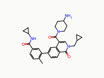 Cc1ccc(C(=O)NC2CC2)cc1-c1ccc2c(=O)n(CC3CC3)cc(C(=O)N3CCC(N)CC3)c2c1